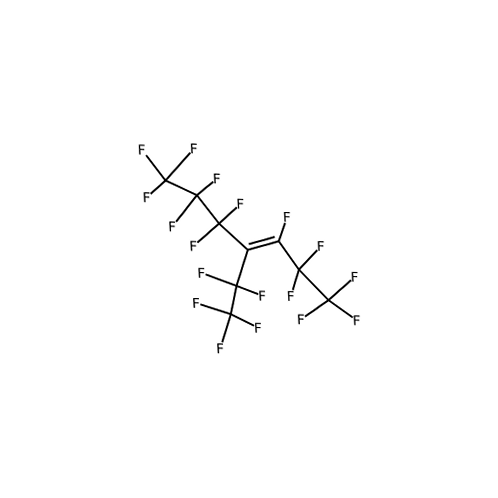 FC(=C(C(F)(F)C(F)(F)F)C(F)(F)C(F)(F)C(F)(F)F)C(F)(F)C(F)(F)F